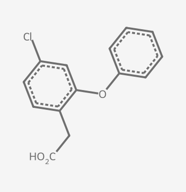 O=C(O)Cc1ccc(Cl)cc1Oc1ccccc1